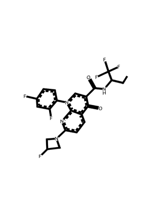 CCC(NC(=O)c1cn(-c2ccc(F)cc2F)c2nc(N3CC(F)C3)ccc2c1=O)C(F)(F)F